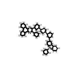 C1=Cc2c(c3cc(-c4cccc(C5=CCC(c6cccc(-c7nc8c9ccccc9c9ccccc9c8nc7-c7ccccc7)c6)C=C5)c4)ccc3n2-c2ccccc2)CC1